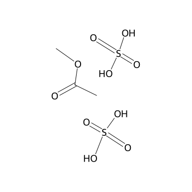 COC(C)=O.O=S(=O)(O)O.O=S(=O)(O)O